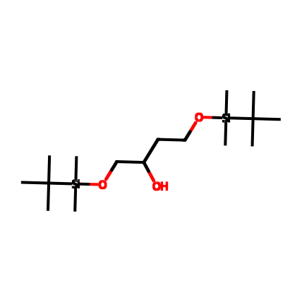 CC(C)(C)[Si](C)(C)OCCC(O)CO[Si](C)(C)C(C)(C)C